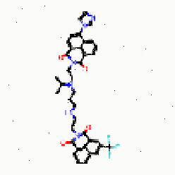 CC(C)N(CCCNCCN1C(=O)c2cccc3cc(C(F)(F)F)cc(c23)C1=O)CCN1C(=O)c2cccc3c(-n4ccnc4)ccc(c23)C1=O